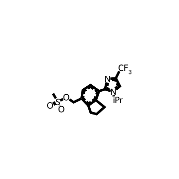 CC(C)n1cc(C(F)(F)F)nc1-c1ccc(COS(C)(=O)=O)c2c1CCC2